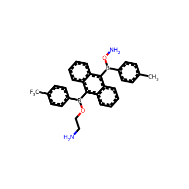 Cc1ccc(B(ON)c2c3ccccc3c(B(OCCN)c3ccc(C(F)(F)F)cc3)c3ccccc23)cc1